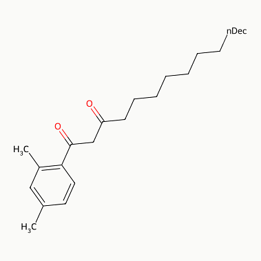 CCCCCCCCCCCCCCCCCC(=O)CC(=O)c1ccc(C)cc1C